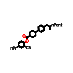 CCCCCC(C)Cc1ccc(C2CCC(C(=O)Oc3ccc(CCC)cc3C#N)CC2)cc1